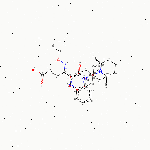 CCO/N=C(\CCC(=O)O)c1nc2ccccc2n([C@H]2C[C@H]3CCC[C@@H](C2)N3C2CC3CCCC(C3)C2)c1=O